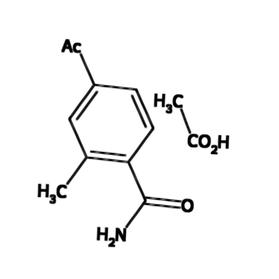 CC(=O)O.CC(=O)c1ccc(C(N)=O)c(C)c1